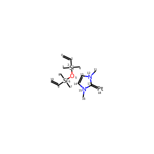 C=C[Si](C)(C)O[Si](C)(C)C=C.Cn1ccn(C)[c]1=[Pt]